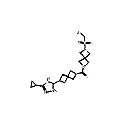 CC(C)(C)CS(=O)(=O)N1CC2(CN(C(=O)N3CC4(CC(C5NN=C(C6CC6)N5)C4)C3)C2)C1